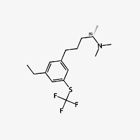 CCc1cc(CCC[C@H](C)N(C)C)cc(SC(F)(F)F)c1